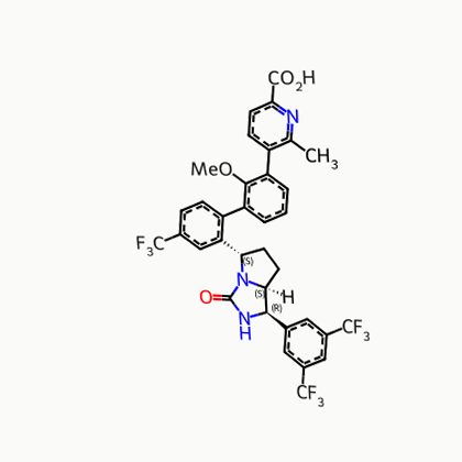 COc1c(-c2ccc(C(F)(F)F)cc2[C@@H]2CC[C@H]3[C@@H](c4cc(C(F)(F)F)cc(C(F)(F)F)c4)NC(=O)N23)cccc1-c1ccc(C(=O)O)nc1C